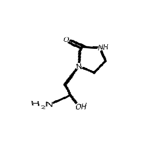 NC(O)CN1CCNC1=O